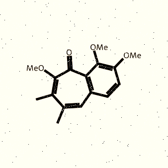 COc1ccc2cc(C)c(C)c(OC)c(=O)c2c1OC